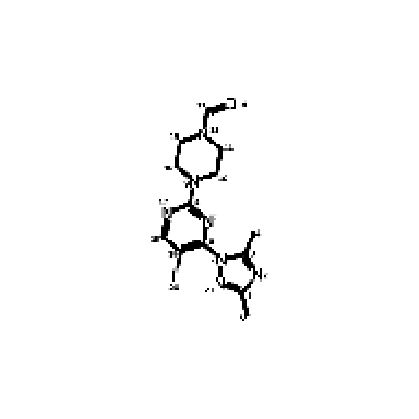 Cc1nc(C)n(-c2nc(N3CCN(C=O)CC3)ncc2F)n1